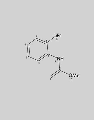 C=C(Nc1ccccc1C(C)C)OC